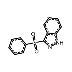 O=S(=O)(c1ccccc1)c1n[nH]c2cc[c]cc12